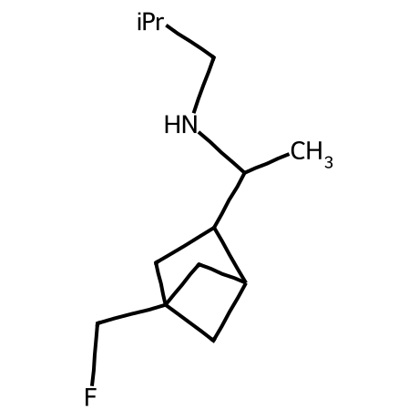 CC(C)CNC(C)C1CC2(CF)CC1C2